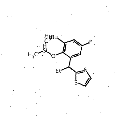 CCC(c1nccs1)c1cc(F)cc(C(C)(C)C)c1O[SiH](C)C